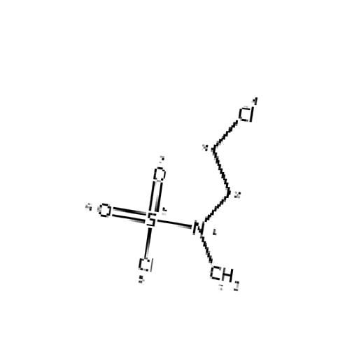 CN(CCCl)S(=O)(=O)Cl